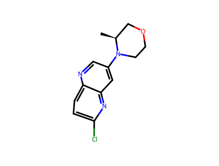 C[C@H]1COCCN1c1cnc2ccc(Cl)nc2c1